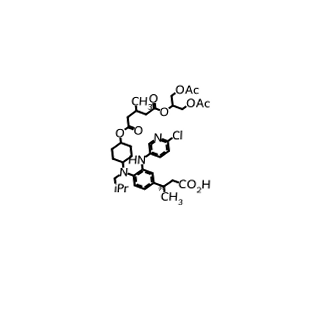 CC(=O)OCC(COC(C)=O)OC(=O)CC(C)CC(=O)OC1CCC(N(CC(C)C)c2ccc([C@H](C)CC(=O)O)cc2Nc2ccc(Cl)nc2)CC1